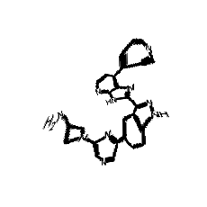 NC1CN(c2cncc(-c3ccc4[nH]nc(-c5nc6c(-c7ccncc7)ccnc6[nH]5)c4c3)n2)C1